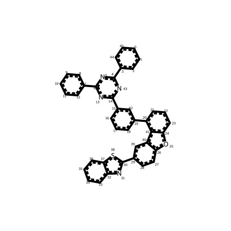 c1ccc(-c2nc(-c3ccccc3)nc(-c3cccc(-c4cccc5oc6ccc(-c7nc8ccccc8s7)cc6c45)c3)n2)cc1